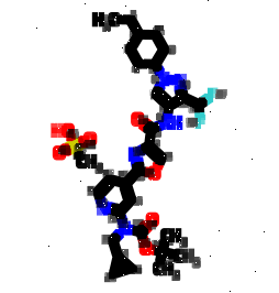 CCC1CCC(n2cc(NC(=O)c3coc(-c4ccnc(N(CC5CC5)C(=O)OC(C)(C)C)c4)n3)c(C(F)F)n2)CC1.CS(=O)(=O)O